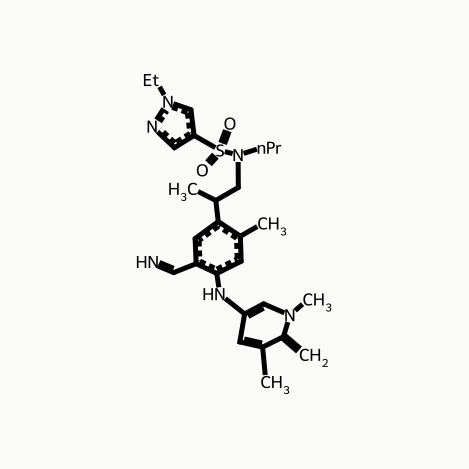 C=C1C(C)=CC(Nc2cc(C)c(C(C)CN(CCC)S(=O)(=O)c3cnn(CC)c3)cc2C=N)=CN1C